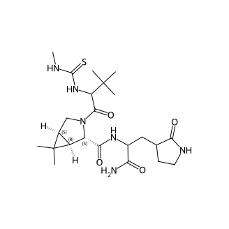 CNC(=S)NC(C(=O)N1C[C@H]2[C@@H]([C@H]1C(=O)NC(CC1CCNC1=O)C(N)=O)C2(C)C)C(C)(C)C